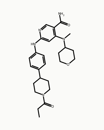 CCC(=O)N1CCC(c2ccc(Nc3cc(N(C)C4CCOCC4)c(C(N)=O)cn3)cc2)CC1